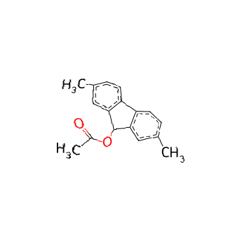 CC(=O)OC1c2cc(C)ccc2-c2ccc(C)cc21